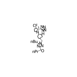 CCCCc1nc(C(=O)CCC)nn1Cc1ccc(-n2ccc(C(F)(F)F)c2-c2nnn[nH]2)cc1